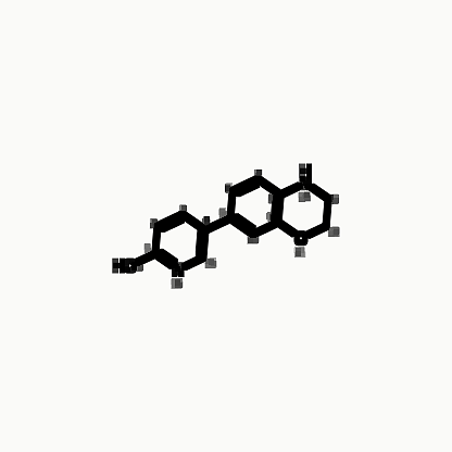 Oc1ccc(-c2ccc3c(c2)OCCN3)cn1